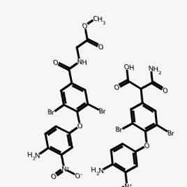 COC(=O)CNC(=O)c1cc(Br)c(Oc2ccc(N)c([N+](=O)[O-])c2)c(Br)c1.NC(=O)C(C(=O)O)c1cc(Br)c(Oc2ccc(N)c([N+](=O)[O-])c2)c(Br)c1